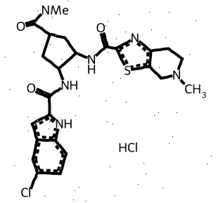 CNC(=O)C1CC(NC(=O)c2cc3cc(Cl)ccc3[nH]2)C(NC(=O)c2nc3c(s2)CN(C)CC3)C1.Cl